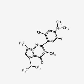 Cc1cc(C(C)C)c2c(=O)n(C)c(-c3cc(F)c(N(C)C)cc3Cl)nn12